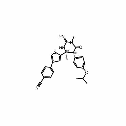 CC(C)Oc1ccc([C@H]2C(=O)N(C)C(=N)N[C@]2(C)c2cc(-c3ccc(C#N)cc3)cs2)cc1